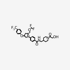 O=C(NCC1CCN(C(=O)CO)CC1)c1ccc(N2C[C@@H](Oc3ccc(C(F)(F)F)cc3)C[C@H]2COC(F)F)cc1